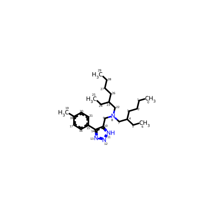 CCCCC(CC)CN(Cc1[nH]nnc1-c1ccc(C)cc1)CC(CC)CCCC